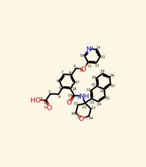 O=C(O)CCc1ccc(COc2cccnc2)cc1C(=O)NC1(c2ccc3ccccc3c2)CCOCC1